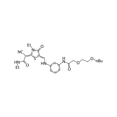 CCCCOCCOCC(=O)Nc1cccc(NC=c2sc(=C(C#N)C(=O)NCC)n(CC)c2=O)c1